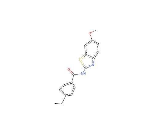 CCc1ccc(C(=O)Nc2nc3ccc(OC)cc3s2)cc1